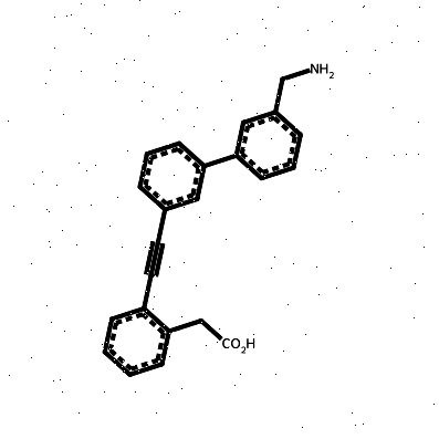 NCc1cccc(-c2cccc(C#Cc3ccccc3CC(=O)O)c2)c1